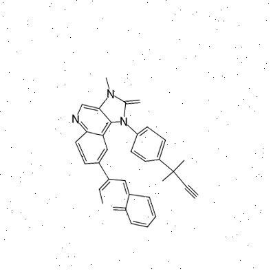 C#CC(C)(C)c1ccc(N2C(=C)N(C)c3cnc4ccc(C(/C=c5/ccccc5=C)=C/C)cc4c32)cc1